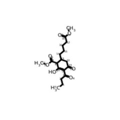 CCCC(=O)C1=C(O)C(C(=O)OC)C(CCCCC(=O)OC)CC1=O